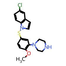 COc1ccc(Sn2ccc3cc(Cl)ccc32)cc1N1CCNCC1